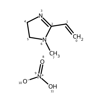 C=CC1=NCCN1C.O=[N+]([O-])O